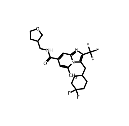 Cc1cc(C(=O)NCC2CCOC2)cc2nc(C(F)(F)F)c(CC3CCC(F)(F)CC3)n12